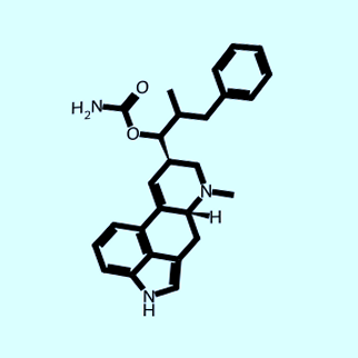 CC(Cc1ccccc1)C(OC(N)=O)[C@@H]1C=C2c3cccc4[nH]cc(c34)C[C@H]2N(C)C1